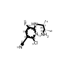 C[C@H](N)[C@@H](C)Nc1nc(Cl)c(C#N)cc1F